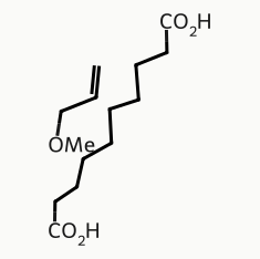 C=CCOC.O=C(O)CCCCCCCCC(=O)O